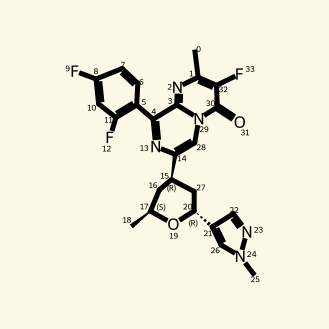 Cc1nc2c(-c3ccc(F)cc3F)nc([C@@H]3C[C@H](C)O[C@@H](c4cnn(C)c4)C3)cn2c(=O)c1F